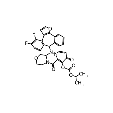 CC(C)OC(=O)Oc1c2n(ccc1=O)N(C1c3ccccc3-c3occc3-c3c1ccc(F)c3F)C1COCCN1C2=O